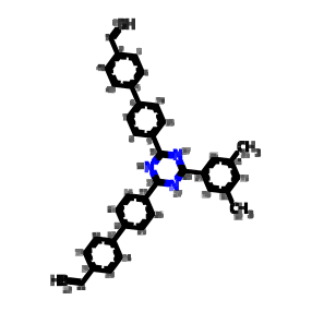 B=Cc1ccc(-c2ccc(-c3nc(-c4ccc(-c5ccc(C=B)cc5)cc4)nc(-c4cc(C)cc(C)c4)n3)cc2)cc1